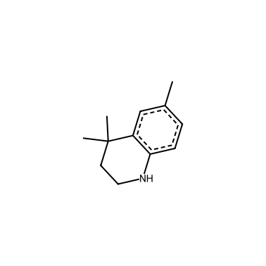 Cc1ccc2c(c1)C(C)(C)CCN2